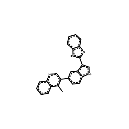 Cc1c(-c2ccc3[nH]nc(-c4nc5ccccc5[nH]4)c3c2)cnc2ccccc12